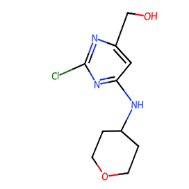 OCc1cc(NC2CCOCC2)nc(Cl)n1